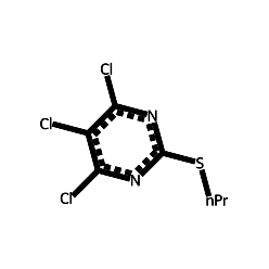 CCCSc1nc(Cl)c(Cl)c(Cl)n1